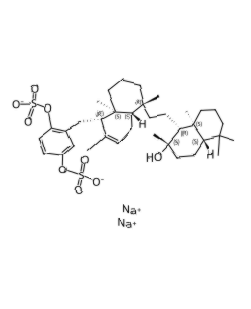 CC1=CC[C@H]2[C@@](C)(CC[C@@H]3[C@@]4(C)CCCC(C)(C)[C@@H]4CC[C@]3(C)O)CCC[C@]2(C)[C@H]1Cc1cc(OS(=O)(=O)[O-])ccc1OS(=O)(=O)[O-].[Na+].[Na+]